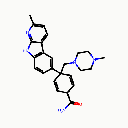 Cc1ccc2c(n1)[nH]c1ccc(C3(CN4CCN(C)CC4)C=CC(C(N)=O)C=C3)cc12